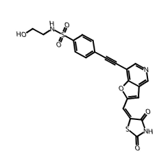 O=C1NC(=O)/C(=C\c2cc3cncc(C#Cc4ccc(S(=O)(=O)NCCO)cc4)c3o2)S1